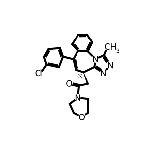 Cc1nnc2n1-c1ccccc1C(c1cccc(Cl)c1)=C[C@@H]2CC(=O)N1CCOCC1